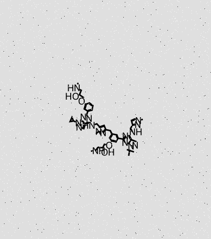 CNCC(O)COc1cccc(-c2nc(NCc3cc(Cc4cc(OCC(O)CNC)cc(-c5nc(NCc6ccn(C)n6)c6cnn(C(C)(C)C)c6n5)c4)nn3C)c3cnn(C4CC4)c3n2)c1